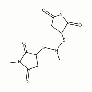 CN(SC1CC(=O)NC1=O)SC1CC(=O)N(C)C1=O